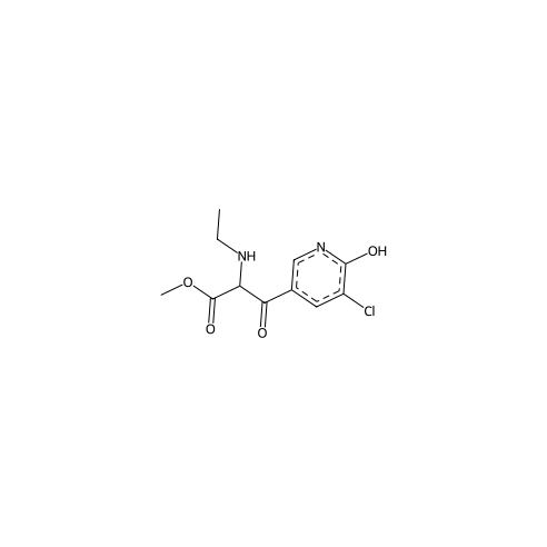 CCNC(C(=O)OC)C(=O)c1cnc(O)c(Cl)c1